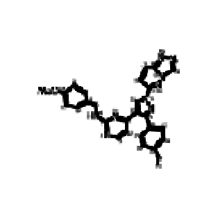 COc1ccc(CNc2nccc(-c3cn(-c4ccc5nncn5n4)nc3-c3ccc(F)cc3)n2)cc1